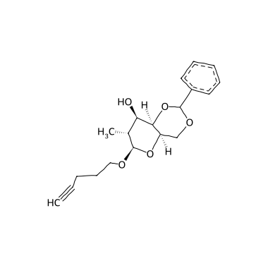 C#CCCCO[C@@H]1O[C@@H]2COC(c3ccccc3)O[C@@H]2[C@H](O)[C@H]1C